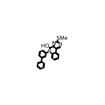 CSc1ncc2c(n1)C(O)N(c1cccc(-c3ccccc3)c1)c1ccccc1-2